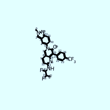 Cn1cc2cc(-n3cc4ccc(NC(F)C(F)F)nc4c(-c4ccc(C(F)(F)F)cc4)c3=O)ccc2n1